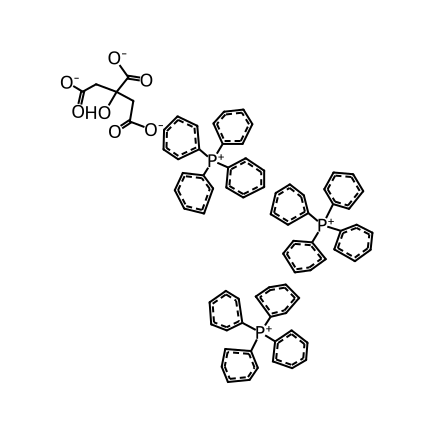 O=C([O-])CC(O)(CC(=O)[O-])C(=O)[O-].c1ccc([P+](c2ccccc2)(c2ccccc2)c2ccccc2)cc1.c1ccc([P+](c2ccccc2)(c2ccccc2)c2ccccc2)cc1.c1ccc([P+](c2ccccc2)(c2ccccc2)c2ccccc2)cc1